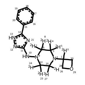 [2H]C1(N2C([2H])([2H])C([2H])([2H])N(Nc3n[nH]c(-c4ccccc4)n3)C([2H])([2H])C2([2H])[2H])COC1